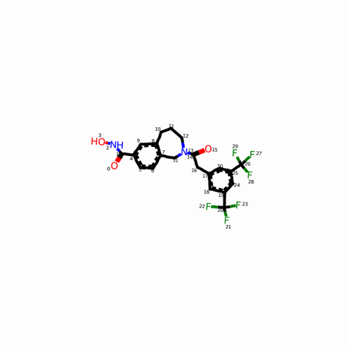 O=C(NO)c1ccc2c(c1)CCCN(C(=O)Cc1cc(C(F)(F)F)cc(C(F)(F)F)c1)C2